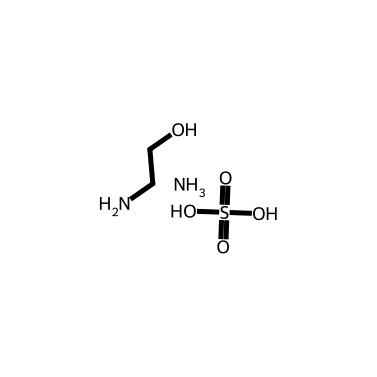 N.NCCO.O=S(=O)(O)O